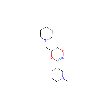 CN1CCCC(C2=NOCC(CN3CCCCC3)O2)C1